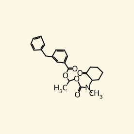 CC(OC(=O)c1cccc(Cc2ccccc2)c1)OC(=O)N(C)C1CCCCC1=O